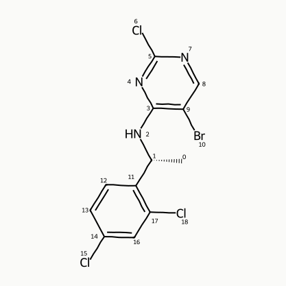 C[C@@H](Nc1nc(Cl)ncc1Br)c1ccc(Cl)cc1Cl